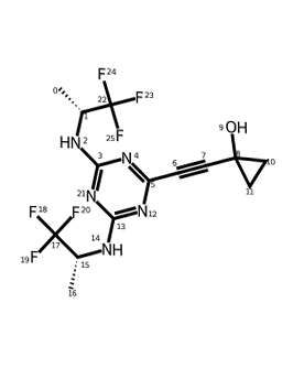 C[C@@H](Nc1nc(C#CC2(O)CC2)nc(N[C@H](C)C(F)(F)F)n1)C(F)(F)F